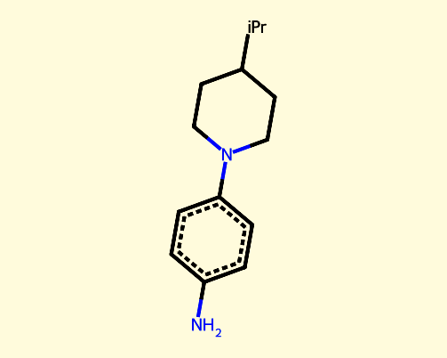 CC(C)C1CCN(c2ccc(N)cc2)CC1